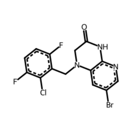 O=C1CN(Cc2c(F)ccc(F)c2Cl)c2cc(Br)cnc2N1